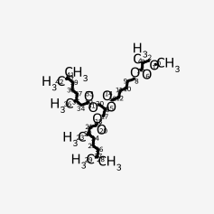 COCC(C)C(=O)OCCCCCC(=O)OC(COC(=O)CC(C)CCCC(C)C)COC(=O)CC(C)CCCC(C)C